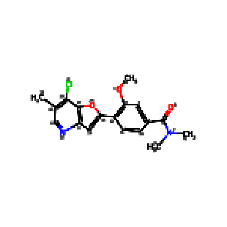 COc1cc(C(=O)N(C)C)ccc1-c1cc2ncc(C)c(Cl)c2o1